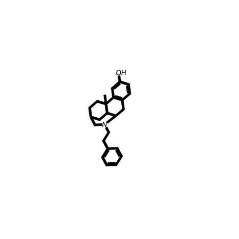 CC12CCC3CC1C(Cc1ccc(O)cc12)N(CCc1ccccc1)C3